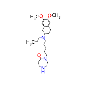 CCCN(CCCCCN1CCNCCC1=O)C1CCc2cc(OC)c(OC)cc2C1